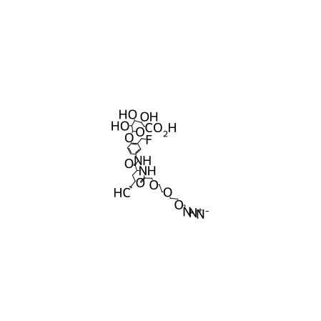 C#CCCC(NC(=O)COCCOCCOCN=[N+]=[N-])C(=O)Nc1ccc(OC2OC(C(=O)O)C(O)C(O)C2O)c(CF)c1